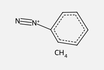 C.N#[N+]c1ccccc1